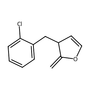 C=C1OC=CC1Cc1ccccc1Cl